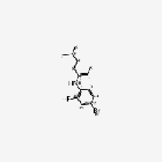 CC=C(CCC(C)C)Nc1ccc(Br)cc1F